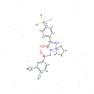 Cc1cc(C(=O)CN2C(=O)C(c3ccc(C(F)(F)F)cc3)=NC23CCCC3)ccc1Cl